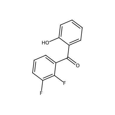 O=C(c1ccccc1O)c1cccc(F)c1F